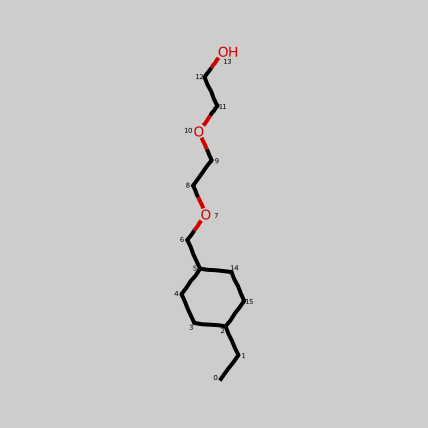 CCC1CCC(COCCOCCO)CC1